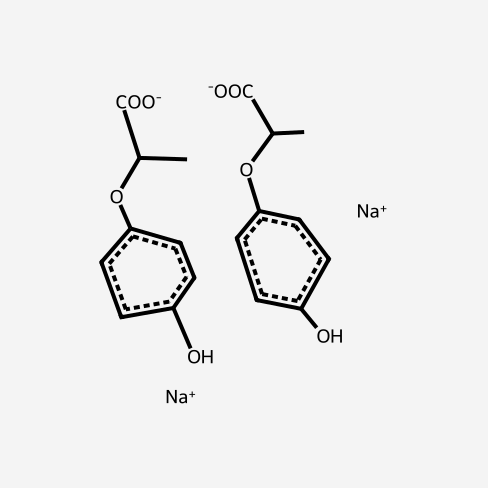 CC(Oc1ccc(O)cc1)C(=O)[O-].CC(Oc1ccc(O)cc1)C(=O)[O-].[Na+].[Na+]